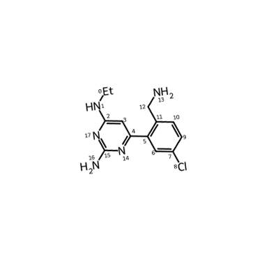 CCNc1cc(-c2cc(Cl)ccc2CN)nc(N)n1